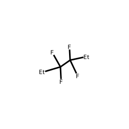 [CH2]CC(F)(F)C(F)(F)CC